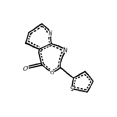 O=c1oc(-c2cccs2)nc2ncccc12